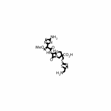 CON=C(C(=O)NC1C(=O)N2CC(CSc3nnc(CN)s3)(C(=O)O)CS[C@H]12)c1nsc(N)n1